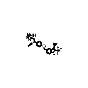 CC#C[C@@H](Cc1nnn[nH]1)c1ccc(OCc2ccc3sc(C(F)(F)F)c(C4CC4)c3c2)cc1